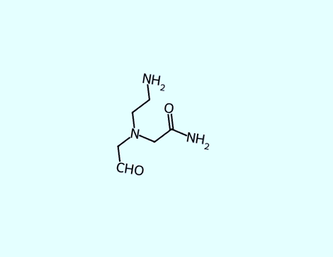 NCCN(CC=O)CC(N)=O